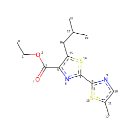 CCOC(=O)c1nc(-c2ncc(C)s2)sc1CC(C)C